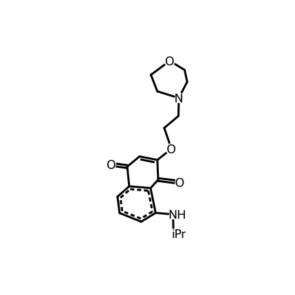 CC(C)Nc1cccc2c1C(=O)C(OCCN1CCOCC1)=CC2=O